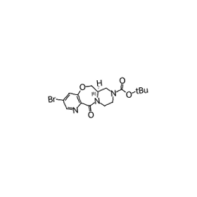 CC(C)(C)OC(=O)N1CCN2C(=O)c3ncc(Br)cc3OC[C@H]2C1